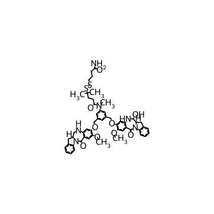 COc1cc2c(cc1OCc1cc(COc3cc4c(cc3OC)C(=O)N3c5ccccc5C[C@H]3C(O)N4)cc(N(C)C(=O)CCC(C)(C)SSCCCC(N)=O)c1)NC[C@@H]1Cc3ccccc3N1C2=O